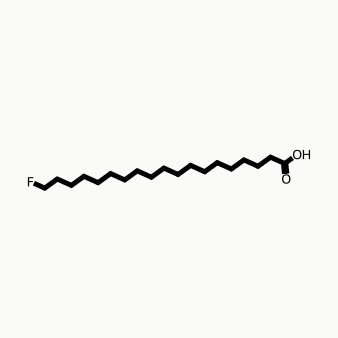 O=C(O)CCCCCCCCCCCCCCCCCCF